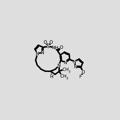 CC1(C)C[C@H]2CCCCn3ccc(n3)S(=O)(=O)NC(=O)c3ccc(-n4ccc(OF)n4)nc3N1C2